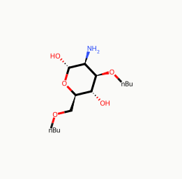 CCCCOC[C@H]1O[C@H](O)[C@@H](N)[C@@H](OCCCC)[C@@H]1O